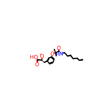 CCCCCCCNC(=O)C(C)(C)Oc1cccc(C[C@H](OC)C(=O)O)c1